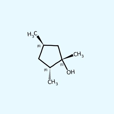 C[C@@H]1C[C@@H](C)[C@@](C)(O)C1